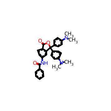 CN(C)c1ccc(C2(c3ccc(N(C)C)cc3)OC(=O)c3ccc(NC(=O)c4ccccc4)cc32)cc1